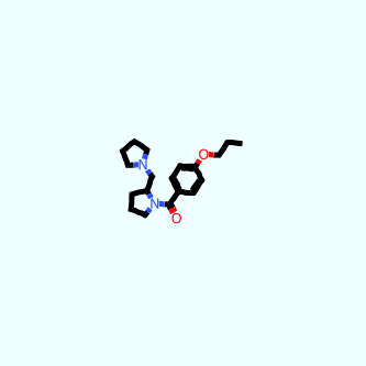 CCCOc1ccc(C(=O)N2CCCC2CN2CCCC2)cc1